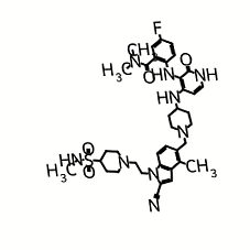 CNS(=O)(=O)C1CCN(CCn2c(C#N)cc3c(C)c(CN4CCC(Nc5cc[nH]c(=O)c5Nc5ccc(F)cc5C(=O)N(C)C)CC4)ccc32)CC1